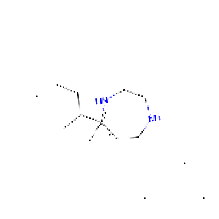 CCC(C)C1(C)CCNCCN1